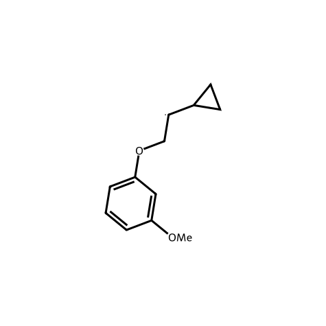 COc1cccc(OC[CH]C2CC2)c1